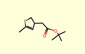 CC1=CC(CC(=O)OC(C)(C)C)CS1